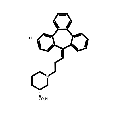 Cl.O=C(O)[C@@H]1CCCN(CCC=C2c3ccccc3-c3ccccc3-c3ccccc32)C1